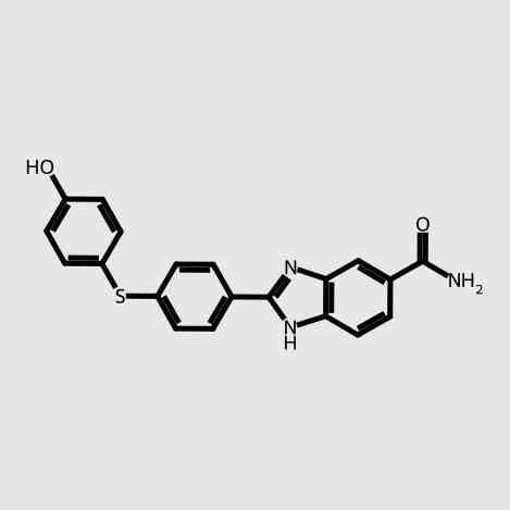 NC(=O)c1ccc2[nH]c(-c3ccc(Sc4ccc(O)cc4)cc3)nc2c1